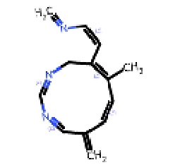 C=N\C=C/C1=C(C)/C=C\C(=C)/C=N\C=N/C1